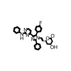 O=C1C[C@H](O)C[C@@H](/C=C/n2c(-c3ccccc3)nc(-c3ccnc(Nc4ccccc4)n3)c2-c2ccc(F)cc2)O1